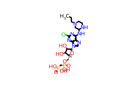 CCCN1CCNC(Nc2nc(Cl)nc3c2ncn3[C@@H]2O[C@H](COP(=O)(O)CP(=O)(O)O)C(O)C2O)C1